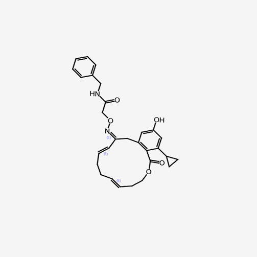 O=C(CO/N=C1/C=C/CC/C=C/CCOC(=O)c2c(cc(O)cc2C2CC2)C1)NCc1ccccc1